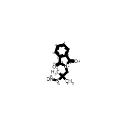 CC(C)(CN1C(=O)c2ccccc2C1=O)SN=O